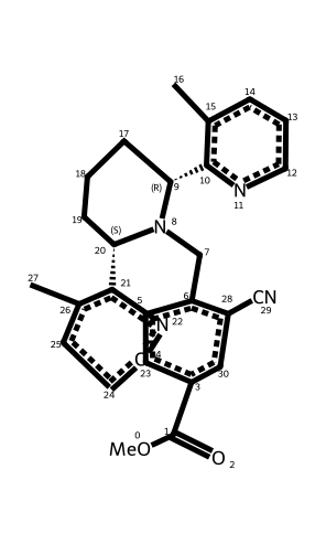 COC(=O)c1ccc(CN2[C@@H](c3ncccc3C)CCC[C@H]2c2ncccc2C)c(C#N)c1